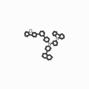 c1cc(-c2ccc(N(c3ccc(-c4cccc5ccccc45)cc3)c3cccc(-n4c5ccccc5c5ccccc54)c3)cc2)cc(-c2ccc3c(c2)oc2ccccc23)c1